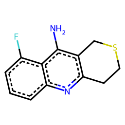 Nc1c2c(nc3cccc(F)c13)CCSC2